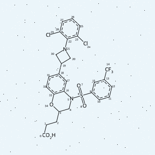 O=C(O)CCC1CN(S(=O)(=O)c2cccc(C(F)(F)F)c2)c2cc(C3CN(c4c(Cl)cccc4Cl)C3)ccc2O1